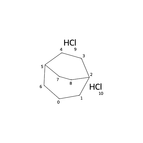 C1CC2CCC(C1)CC2.Cl.Cl